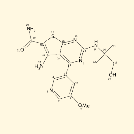 COc1cncc(-c2nc(NC(C)(C)CO)nc3sc(C(N)=O)c(N)c23)c1